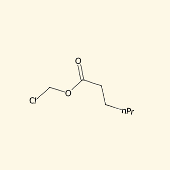 CCCCCC(=O)OCCl